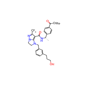 COC(=O)c1ccc([C@H](C)NC(=O)c2c(C(F)(F)F)nn3c2N(Cc2cccc(CCCO)c2)CC3)cc1